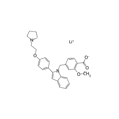 COc1cc(Cn2c(-c3ccc(OCCN4CCCC4)cc3)cc3ccccc32)ccc1C(=O)[O-].[Li+]